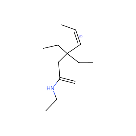 C=C(CC(/C=C\C)(CC)CC)NCC